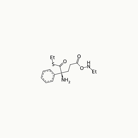 CCNOC(=O)CC[C@@](N)(C(=O)SCC)c1ccccc1